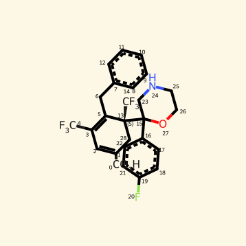 O=C(O)C1=CC(C(F)(F)F)=C(Cc2ccccc2)[C@](C(F)(F)F)(C2(c3ccc(F)cc3)CNCCO2)C1